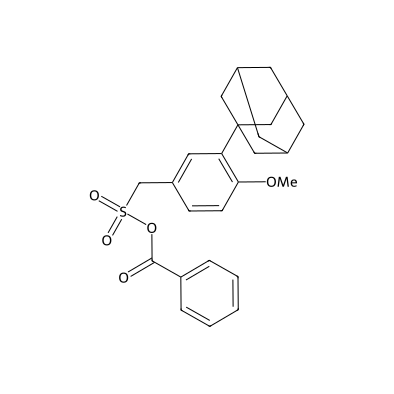 COc1ccc(CS(=O)(=O)OC(=O)c2ccccc2)cc1C12CC3CC(CC(C3)C1)C2